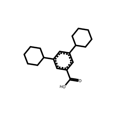 O=C(O)c1cc(C2CCCCC2)cc(C2CCCCC2)c1